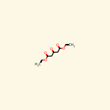 C=COC(=O)CC(=O)CC(=O)OC=C